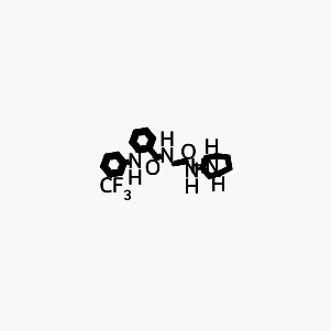 O=C(CNC(=O)c1ccccc1Nc1cccc(C(F)(F)F)c1)N[C@H]1C[C@H]2CC[C@@H](C1)N2